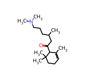 CC1=CCCC(C)(C)C1C(=O)CC(C)CCCN(C)C